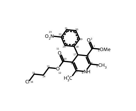 COC(=O)C1=C(C)NC(C)=C(C(=O)OCCCCl)C1c1cccc([N+](=O)[O-])c1